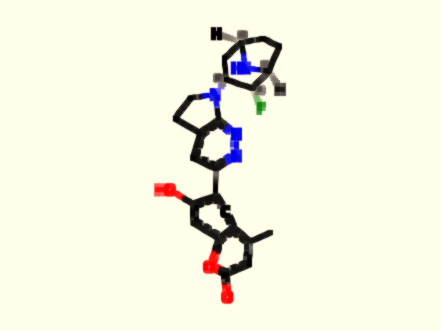 Cc1cc(=O)oc2cc(O)c(-c3cc4c(nn3)N([C@@H]3C[C@H]5CC[C@H](N5)[C@@H]3F)CC4)cc12